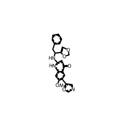 COc1cc2[nH]c(NC(Cc3ccccc3)C3=COCO3)cc(=O)c2cc1-c1cnco1